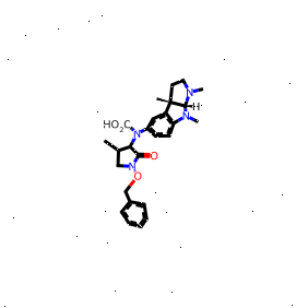 CC1CN(OCc2ccccc2)C(=O)C1N(C(=O)O)c1ccc2c(c1)[C@]1(C)CCN(C)[C@@H]1N2C